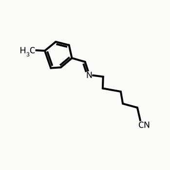 Cc1ccc(/C=N/CCCCCC#N)cc1